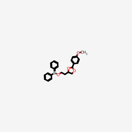 COc1ccc(C2OCC(CCO[SiH](c3ccccc3)c3ccccc3)O2)cc1